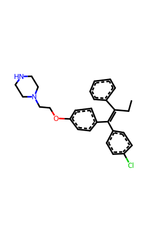 CC/C(=C(\c1ccc(Cl)cc1)c1ccc(OCCN2CCNCC2)cc1)c1ccccc1